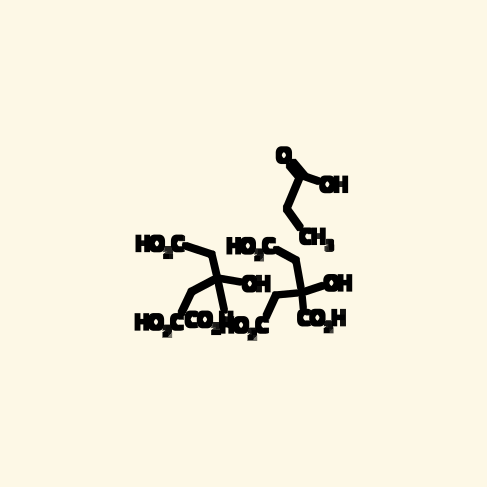 CCC(=O)O.O=C(O)CC(O)(CC(=O)O)C(=O)O.O=C(O)CC(O)(CC(=O)O)C(=O)O